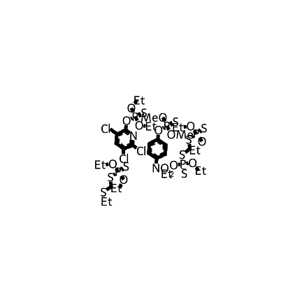 CCOP(=S)(OCC)Oc1nc(Cl)c(Cl)cc1Cl.CCOP(=S)(OCC)SCSCC.CCOP(=S)(OCC)SCSP(=S)(OCC)OCC.COP(=S)(OC)Oc1ccc([N+](=O)[O-])cc1